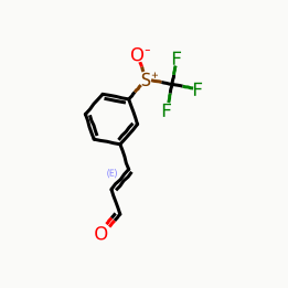 O=C/C=C/c1cccc([S+]([O-])C(F)(F)F)c1